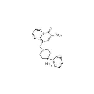 NC1(c2cccnc2)CCN(Cc2cc(C(=O)O)c(=O)n3ccccc23)CC1